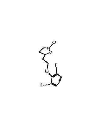 Fc1cccc(F)c1OCCC1C[CH]N(Cl)O1